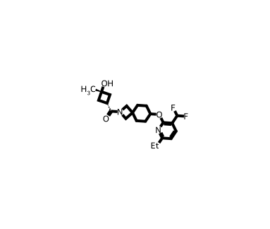 CCc1ccc(C(F)F)c(OC2CCC3(CC2)CN(C(=O)[C@H]2C[C@@](C)(O)C2)C3)n1